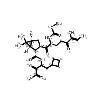 C/C=C(\C)C(=O)CC[C@H](NC(=O)OC(C)(C)C)C(=O)N1C[C@H]2[C@@H]([C@H]1C(=O)NC(CC1CCC1)C(=O)C(N)=O)C2(C)C